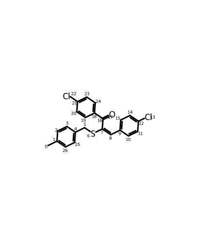 Cc1ccc(CS/C(=C/c2ccc(Cl)cc2)C(=O)c2ccc(Cl)cc2)cc1